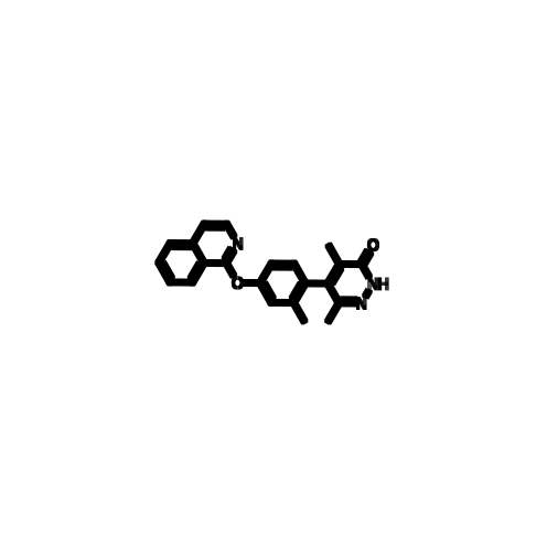 Cc1cc(Oc2nccc3ccccc23)ccc1-c1c(C)n[nH]c(=O)c1C